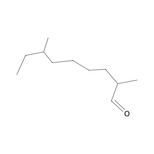 CCC(C)CCCCC(C)C=O